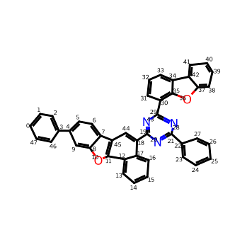 c1ccc(-c2ccc3c(c2)oc2c4ccccc4c(-c4nc(-c5ccccc5)nc(-c5cccc6c5oc5ccccc56)n4)cc32)cc1